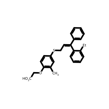 CCc1ccccc1/C(=C\CSc1ccc(OCC(=O)O)c(C)c1)c1ccccc1